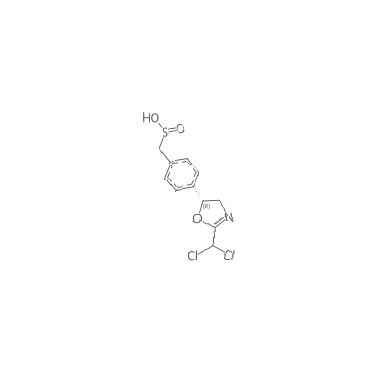 O=S(O)Cc1ccc([C@@H]2CN=C(C(Cl)Cl)O2)cc1